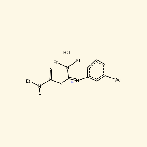 CCN(CC)C(=S)S/C(=N/c1cccc(C(C)=O)c1)N(CC)CC.Cl